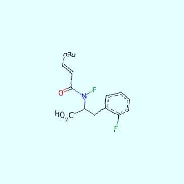 CCCC/C=C/C(=O)N(F)C(Cc1ccccc1F)C(=O)O